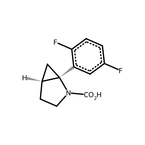 O=C(O)N1CC[C@H]2C[C@]21c1cc(F)ccc1F